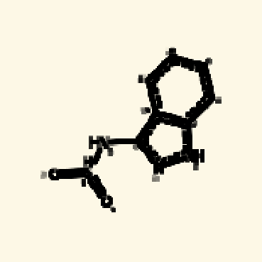 O=[SH](=O)Nc1n[nH]c2ccccc12